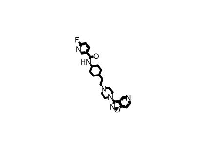 O=C(NC1CCC(CCN2CCN(c3noc4ccncc34)CC2)CC1)c1ccc(F)nc1